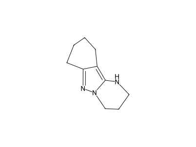 C1CCc2c(nn3c2NCCC3)C1